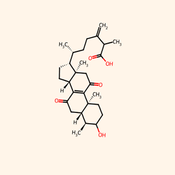 C=C(CC[C@@H](C)[C@H]1CC[C@H]2C3=C(C(=O)C[C@]12C)[C@@]1(C)CCC(O)[C@@H](C)[C@@H]1CC3=O)C(C)C(=O)O